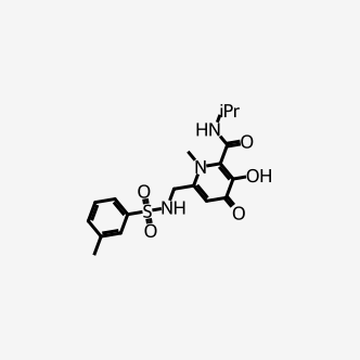 Cc1cccc(S(=O)(=O)NCc2cc(=O)c(O)c(C(=O)NC(C)C)n2C)c1